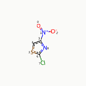 O=[N+]([O-])c1[c]sc(Cl)n1